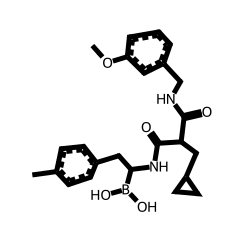 COc1cccc(CNC(=O)C(CC2CC2)C(=O)NC(Cc2ccc(C)cc2)B(O)O)c1